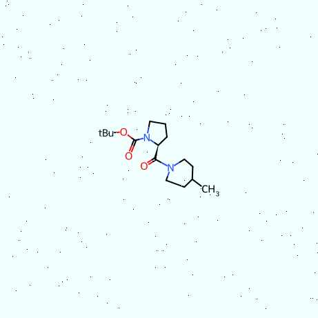 CC1CCN(C(=O)[C@@H]2CCCN2C(=O)OC(C)(C)C)CC1